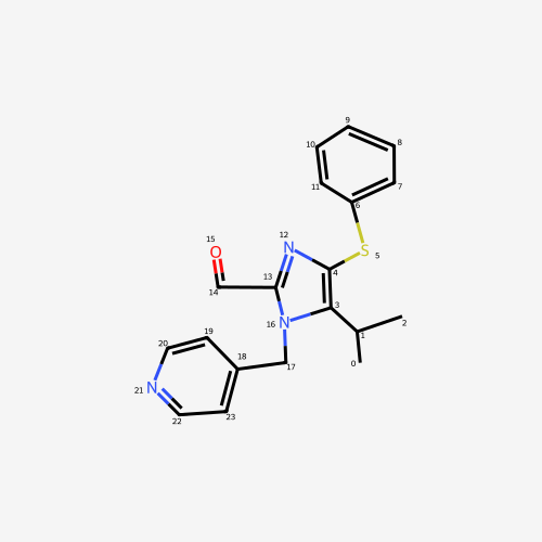 CC(C)c1c(Sc2ccccc2)nc(C=O)n1Cc1ccncc1